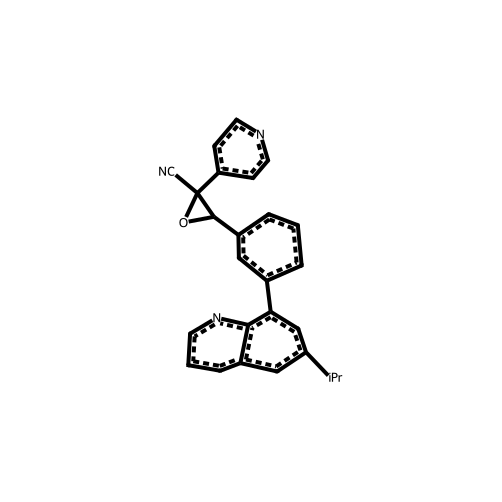 CC(C)c1cc(-c2cccc(C3OC3(C#N)c3ccncc3)c2)c2ncccc2c1